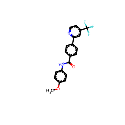 COc1ccc(NC(=O)c2ccc(-c3cc(C(F)(F)F)ccn3)cc2)cc1